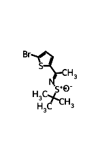 C/C(=N\[S@@+]([O-])C(C)(C)C)c1ccc(Br)s1